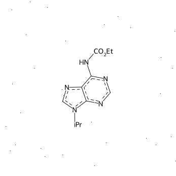 CCOC(=O)Nc1ncnc2c1ncn2C(C)C